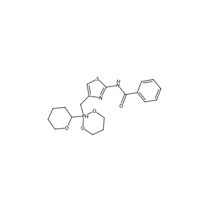 O=C(Nc1nc(C[PH]2(C3CCCCO3)OCCCO2)cs1)c1ccccc1